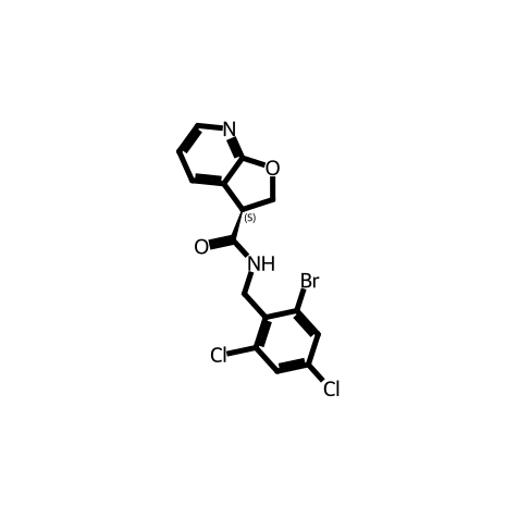 O=C(NCc1c(Cl)cc(Cl)cc1Br)[C@@H]1COc2ncccc21